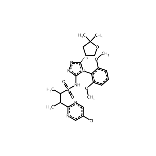 COc1cccc(OC)c1-n1c(NS(=O)(=O)C(C)C(C)c2ncc(Cl)cn2)nnc1[C@H]1COC(C)(C)C1